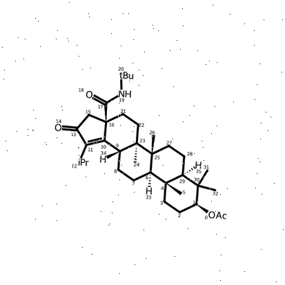 CC(=O)O[C@H]1CC[C@]2(C)[C@H]3CC[C@@H]4C5=C(C(C)C)C(=O)C[C@]5(C(=O)NC(C)(C)C)CC[C@@]4(C)[C@]3(C)CC[C@H]2C1(C)C